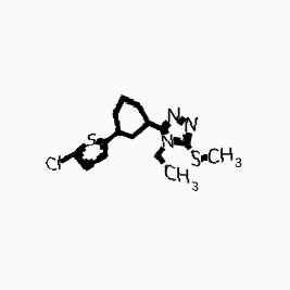 CCn1c(SC)nnc1C1CCCC(c2ccc(Cl)s2)C1